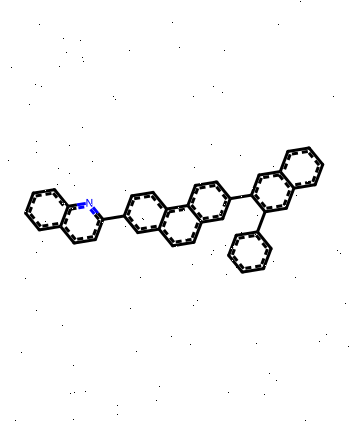 c1ccc(-c2cc3ccccc3cc2-c2ccc3c(ccc4cc(-c5ccc6ccccc6n5)ccc43)c2)cc1